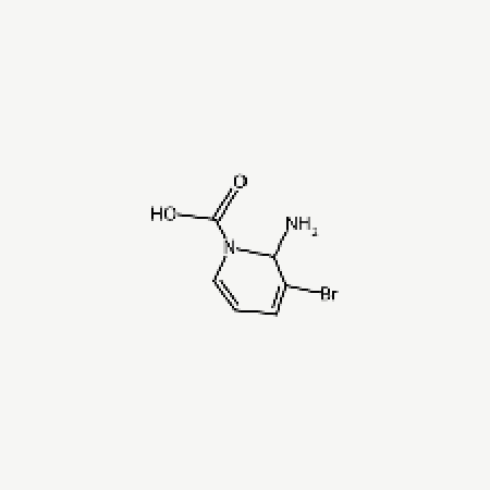 NC1C(Br)=CC=CN1C(=O)O